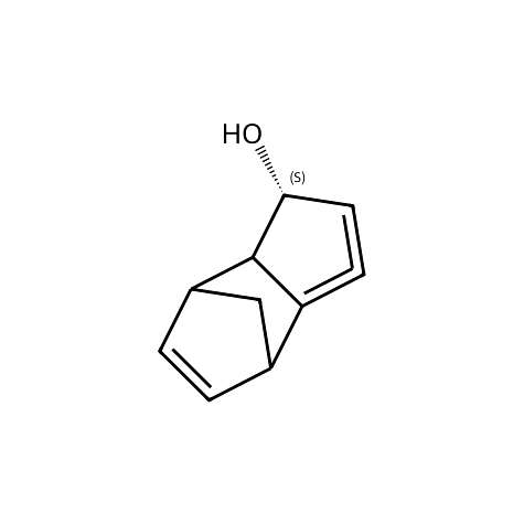 O[C@@H]1C=C=C2C3C=CC(C3)C21